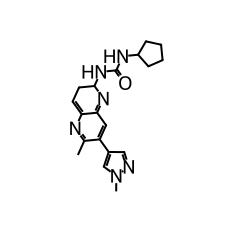 Cc1nc2c(cc1-c1cnn(C)c1)=NC(NC(=O)NC1CCCC1)CC=2